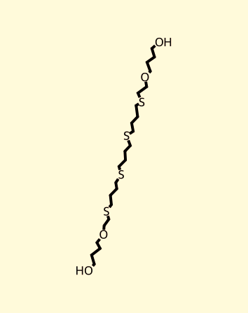 OCCCCOCCSCCCCSCCCCSCCCCSCCOCCCCO